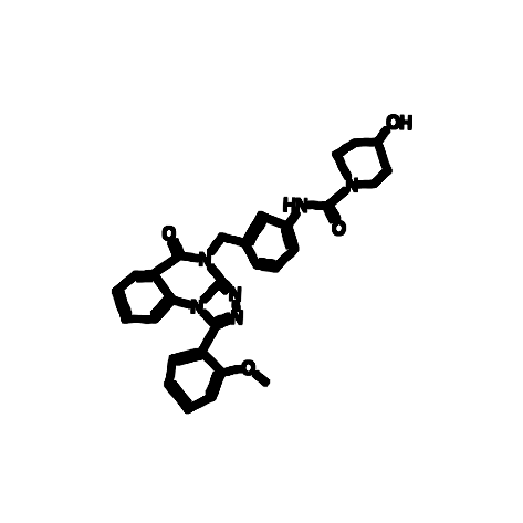 COc1ccccc1-c1nnc2n(Cc3cccc(NC(=O)N4CCC(O)CC4)c3)c(=O)c3ccccc3n12